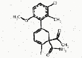 COc1ccc(Cl)c(C)c1C1=CC=C(F)C(C(C)=O)(C(N)=O)C1